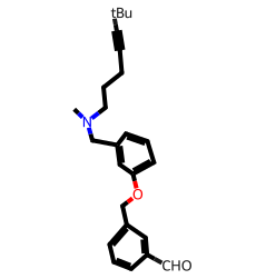 CN(CCCC#CC(C)(C)C)Cc1cccc(OCc2cccc(C=O)c2)c1